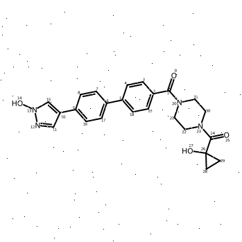 O=C(c1ccc(-c2ccc(-c3cnn(O)c3)cc2)cc1)N1CCN(C(=O)C2(O)CC2)CC1